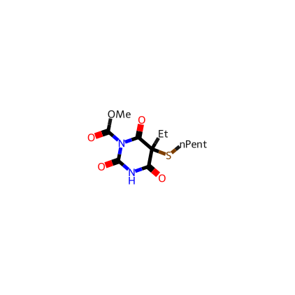 CCCCCSC1(CC)C(=O)NC(=O)N(C(=O)OC)C1=O